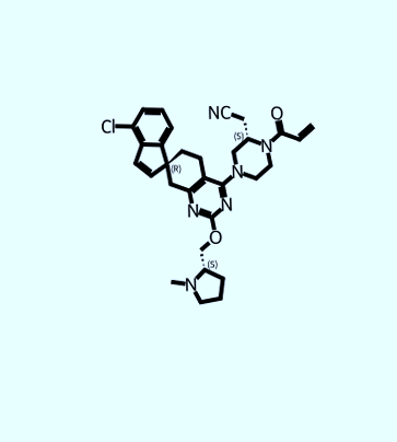 C=CC(=O)N1CCN(c2nc(OC[C@@H]3CCCN3C)nc3c2CC[C@]2(C=Cc4c(Cl)cccc42)C3)C[C@@H]1CC#N